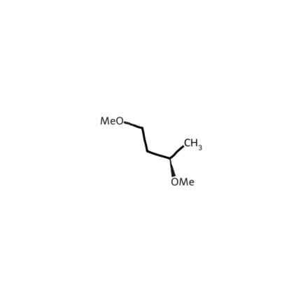 COCC[C@@H](C)OC